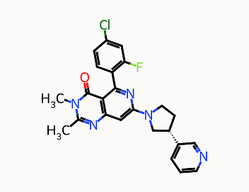 Cc1nc2cc(N3CC[C@H](c4cccnc4)C3)nc(-c3ccc(Cl)cc3F)c2c(=O)n1C